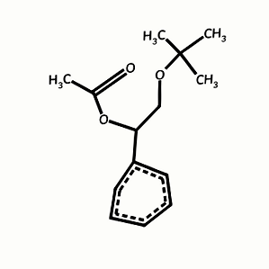 CC(=O)OC(COC(C)(C)C)c1ccccc1